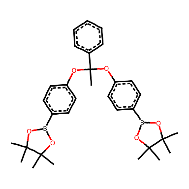 CC(Oc1ccc(B2OC(C)(C)C(C)(C)O2)cc1)(Oc1ccc(B2OC(C)(C)C(C)(C)O2)cc1)c1ccccc1